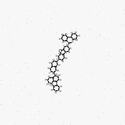 C=C(c1ccc2c(c1)oc1cc(-c3ccc4ccc(-c5ccc6c7c(cccc57)-c5ccccc5-6)cc4c3)ccc12)c1ccccc1-c1ccccc1